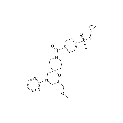 COCC1CN(c2ncccn2)CC2(CCN(C(=O)c3ccc(S(=O)(=O)NC4CC4)cc3)CC2)O1